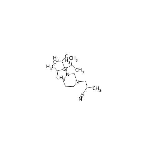 CC(C#N)CN1CCCN([Si](C(C)C)(C(C)C)C(C)C)C1